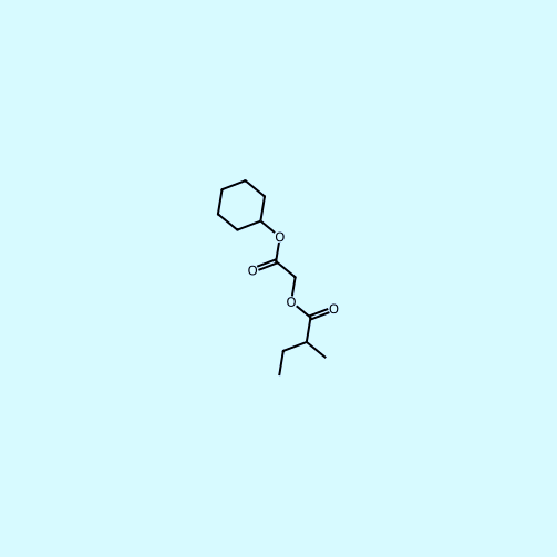 CCC(C)C(=O)OCC(=O)OC1CCCCC1